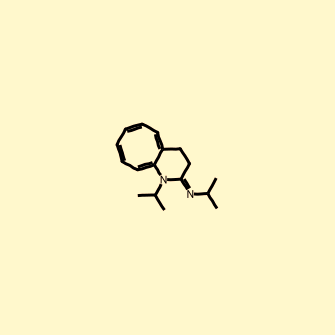 CC(C)/N=C1\CCC2=C/C=C\C=C/C=C\2N1C(C)C